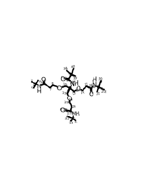 CC(C)(C)NC(=O)CCOCC(COCCC(=O)NC(C)(C)C)(COCCC(=O)NC(C)(C)C)NC(=O)C(C)(C)C